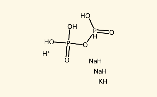 O=[PH](O)OP(=O)(O)O.[H+].[KH].[NaH].[NaH]